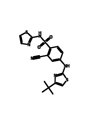 CC(C)(C)c1csc(Nc2ccc(S(=O)(=O)Nc3nccs3)c(C#N)c2)n1